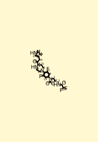 O=C(NC[C@H]1CN(c2cc(F)c(N3CCNN(C(=O)Cc4c[nH]nn4)CC3)c(F)c2)C(=O)O1)C(F)F